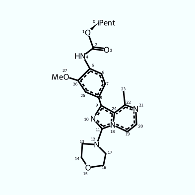 CCC[C@H](C)OC(=O)Nc1ccc(-c2nc(N3CCOCC3)n3ccnc(C)c23)cc1OC